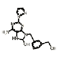 Nc1nc(-n2cccn2)nc2c1NC(O)N2Cc1cccc(CO)c1